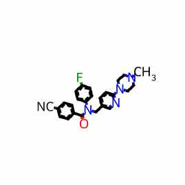 CN1CCN(c2ccc(CN(C(=O)c3ccc(C#N)cc3)c3ccc(F)cc3)cn2)CC1